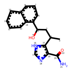 CC(CC(O)c1cccc2ccccc12)c1[nH]cnc1C(N)=O